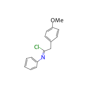 COc1ccc(C/C(Cl)=N/c2ccccc2)cc1